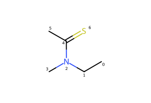 CCN(C)C(C)=S